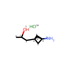 CC(O)CC12CC(N)(C1)C2.Cl